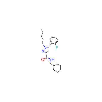 CCCCCN1N=C(C(=O)NCC2CCCCC2)CC1c1ccccc1F